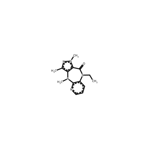 CCN1C(=O)c2c(c(C)nn2C)N(C)c2ncccc21